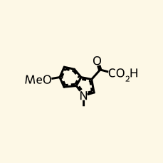 COc1ccc2c(C(=O)C(=O)O)cn(C)c2c1